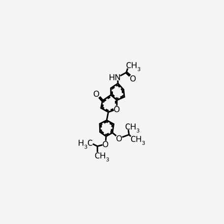 CC(=O)Nc1ccc2oc(-c3ccc(OC(C)C)c(OC(C)C)c3)cc(=O)c2c1